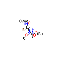 C=CC[C@H](NC(=O)OC(C)(C)C)c1nc(-c2ccc(NC(=O)OC)cc2Br)cn1COCC[Si](C)(C)C